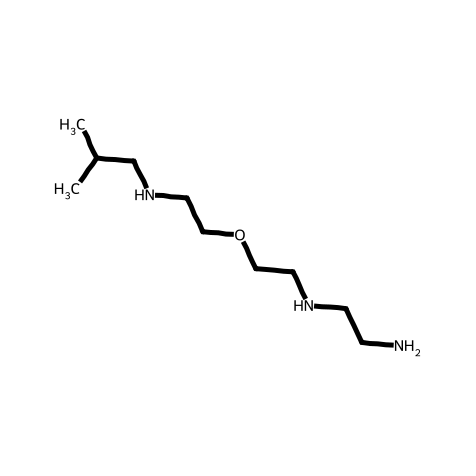 CC(C)CNCCOCCNCCN